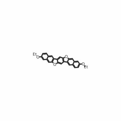 CCOc1ccc2cc3c(cc2c1)oc1cc2c(cc13)oc1cc3cc(OCC)ccc3cc12